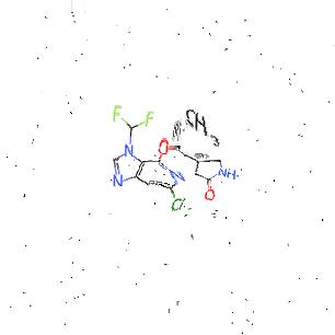 C[C@@H](Oc1nc(Cl)cc2ncn(C(F)F)c12)[C@H]1CNC(=O)C1